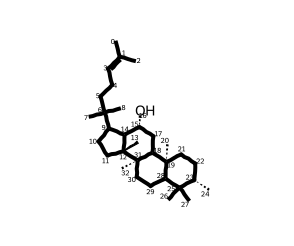 CC(C)=CCCC(C)(C)C1CC[C@]2(C)C1[C@H](O)CC1[C@@]3(C)CC[C@H](C)C(C)(C)C3CC[C@]12C